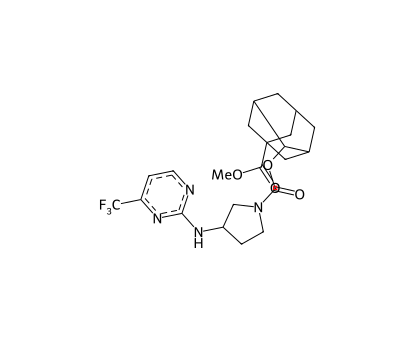 COC(=O)C12CC3CC(C1)C(OC(=O)N1CCC(Nc4nccc(C(F)(F)F)n4)C1)C(C3)C2